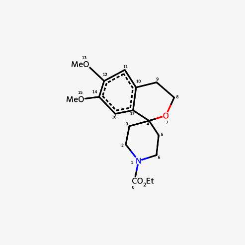 CCOC(=O)N1CCC2(CC1)OCCc1cc(OC)c(OC)cc12